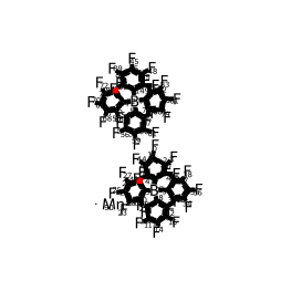 Fc1c(F)c(F)c([B-](c2c(F)c(F)c(F)c(F)c2F)(c2c(F)c(F)c(F)c(F)c2F)c2c(F)c(F)c(F)c(F)c2F)c(F)c1F.Fc1c(F)c(F)c([B-](c2c(F)c(F)c(F)c(F)c2F)(c2c(F)c(F)c(F)c(F)c2F)c2c(F)c(F)c(F)c(F)c2F)c(F)c1F.[Mn+2]